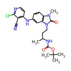 CC(CCn1c(=O)n(C)c2ccc(Nc3ccnc(Cl)c3C#N)cc21)NC(=O)OC(C)(C)C